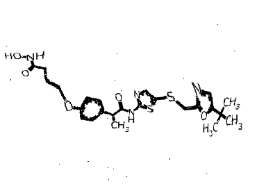 CC(C(=O)Nc1ncc(SCc2ncc(C(C)(C)C)o2)s1)c1ccc(OCCCC(=O)NO)cc1